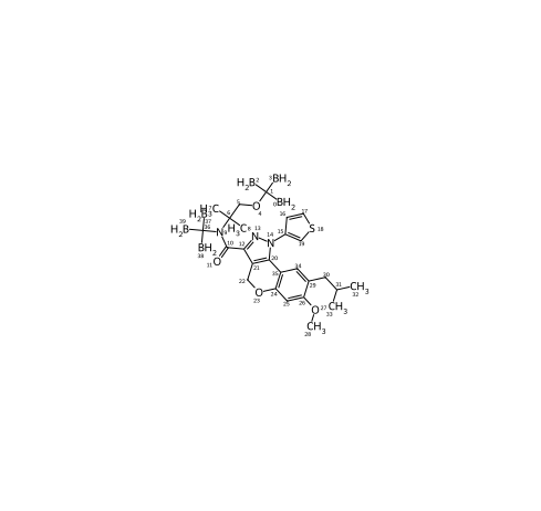 BC(B)(B)OCC(C)(C)N(C(=O)c1nn(-c2ccsc2)c2c1COc1cc(OC)c(CC(C)C)cc1-2)C(B)(B)B